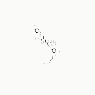 COCCCOc1cc(C[C@@H](C[C@H](N)[C@@H](O)C[C@H](C(=O)NCc2ccc3c(c2)OCCO3)C(C)C)C(C)C)ccc1OC